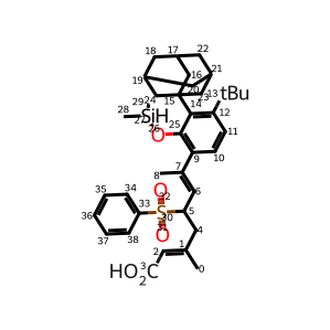 CC(=CC(=O)O)CC(C=C(C)c1ccc(C(C)(C)C)c(C23CC4CC(CC(C4)C2)C3)c1O[SiH](C)C)S(=O)(=O)c1ccccc1